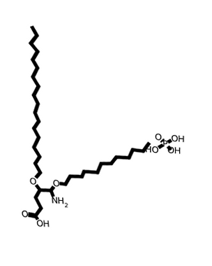 CCCCCCCCCCCCCCCCCCOC(CCC(=O)O)C(N)OCCCCCCCCCCCC.O=P(O)(O)O